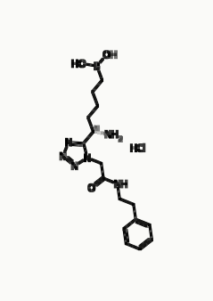 Cl.N[C@@H](CCCCB(O)O)c1nnnn1CC(=O)NCCc1ccccc1